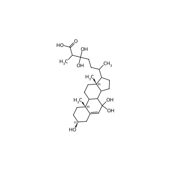 CC(CCC(O)(O)C(C)C(=O)O)C1CCC2C3C(CC[C@]12C)[C@@]1(C)CC[C@H](O)CC1=CC3(O)O